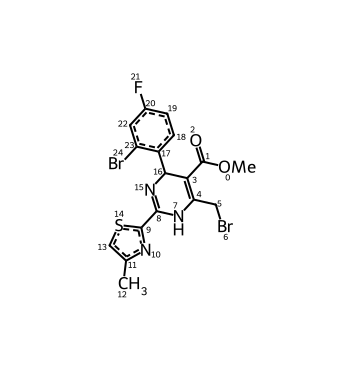 COC(=O)C1=C(CBr)NC(c2nc(C)cs2)=NC1c1ccc(F)cc1Br